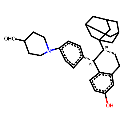 O=CC1CCN(c2ccc([C@H]3c4ccc(O)cc4CC[C@H]3C34CC5CC(CC(C5)C3)C4)cc2)CC1